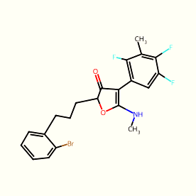 CNC1=C(c2cc(F)c(F)c(C)c2F)C(=O)C(CCCc2ccccc2Br)O1